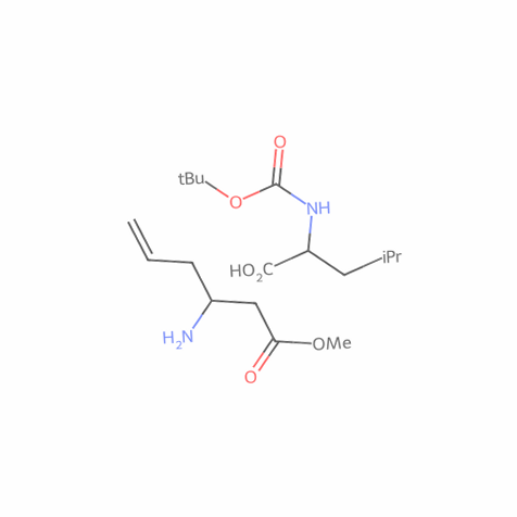 C=CCC(N)CC(=O)OC.CC(C)CC(NC(=O)OC(C)(C)C)C(=O)O